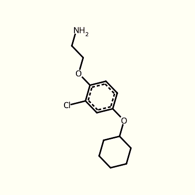 NCCOc1ccc(OC2CCCCC2)cc1Cl